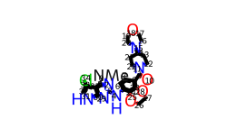 CNc1nc(Nc2ccc(C(=O)N3CCC(N4CCOCC4)CC3)c3c2OCCO3)nc2[nH]cc(Cl)c12